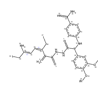 C=C(C(=O)NNC(=O)C(Nc1ccc(C(=N)N)cc1)c1ccc(OC(C)C)c(OCC)c1)/C(=C\C=C(/N)CI)CI